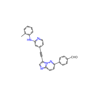 Cc1ccccc1Nc1cc(C#Cc2cnc3ccc(-c4ccc(C=O)cc4)nn23)ccn1